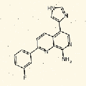 Nc1ncc(-c2c[nH]cn2)c2ccc(-c3cccc(F)c3)nc12